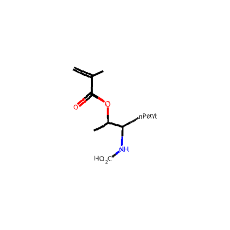 C=C(C)C(=O)OC(C)C(CCCCC)NC(=O)O